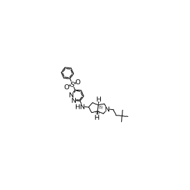 CC(C)(C)CCN1C[C@H]2CC(Nc3ccc(S(=O)(=O)c4ccccc4)nn3)C[C@H]2C1